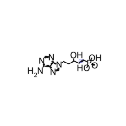 Nc1ncnc2c1ncn2CCC(O)/C=C/P(=O)(O)O